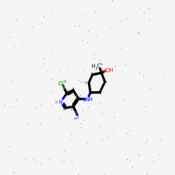 CC1(O)CCC(Nc2cc(Cl)ncc2I)CC1